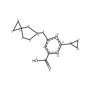 O=C(O)c1cc(CN2CCC3(CC3)C2)nc(C2CC2)n1